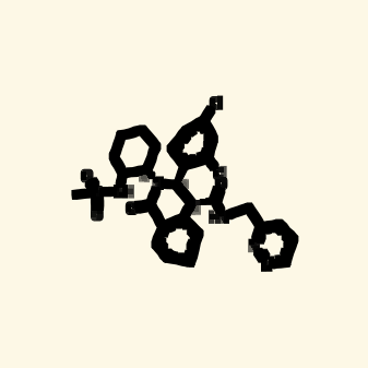 CS(=O)(=O)NC1CCCC[C@@H]1N1C(=O)c2ccccc2[C@@H](C(=O)NCc2cccnn2)[C@@H]1c1ccc(Cl)cc1Cl